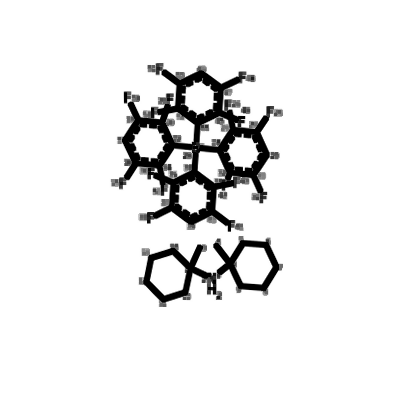 CC1([NH2+]C2(C)CCCCC2)CCCCC1.Fc1cc(F)c(F)c([B-](c2c(F)c(F)cc(F)c2F)(c2c(F)c(F)cc(F)c2F)c2c(F)c(F)cc(F)c2F)c1F